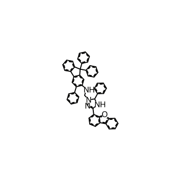 c1ccc(-c2cc3c(cc2NCN2N=C(c4cccc5c4oc4ccccc45)NC2c2ccccc2)C(c2ccccc2)(c2ccccc2)c2ccccc2-3)cc1